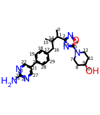 CC(c1noc(N2CCC(O)CC2)n1)[C@H](C)Cc1ccc(-c2cnc(N)nc2)cc1